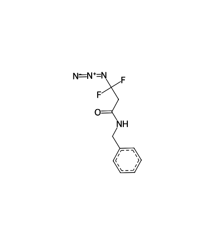 [N-]=[N+]=NC(F)(F)CC(=O)NCc1ccccc1